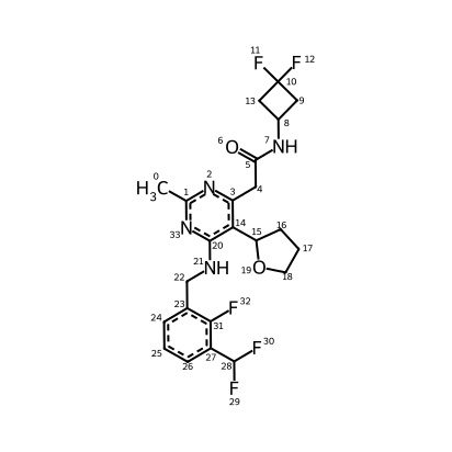 Cc1nc(CC(=O)NC2CC(F)(F)C2)c(C2CCCO2)c(NCc2cccc(C(F)F)c2F)n1